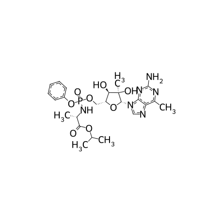 Cc1nc(N)nc2c1ncn2[C@@H]1O[C@H](COP(=O)(N[C@@H](C)C(=O)OC(C)C)Oc2ccccc2)[C@@H](O)[C@@]1(C)O